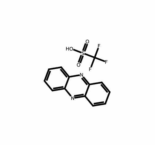 O=S(=O)(O)C(F)(F)F.c1ccc2nc3ccccc3nc2c1